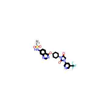 CS(=O)(=O)Nc1ccc2c(O[C@H]3CC[C@H](N4C(=O)CN(c5cncc(C(F)(F)F)c5)C4=O)CC3)ncnc2c1